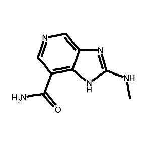 CNc1nc2cncc(C(N)=O)c2[nH]1